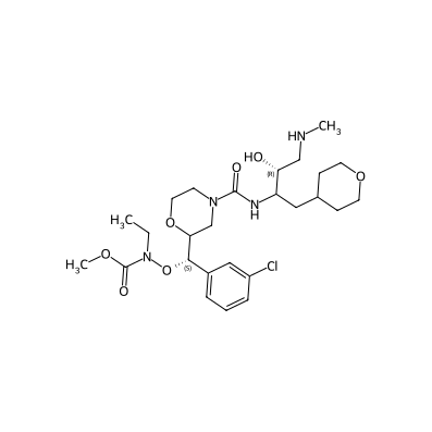 CCN(O[C@@H](c1cccc(Cl)c1)C1CN(C(=O)NC(CC2CCOCC2)[C@H](O)CNC)CCO1)C(=O)OC